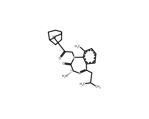 Cc1cccc2c1N(CC(=O)N1CC3CCC(CC3)C1)C(=O)[C@@H](N)N=C2CC(C)C